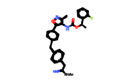 CC(=O)NC(=N)Cc1ccc(Cc2ccc(-c3onc(C)c3NC(=O)O[C@H](C)c3ccccc3F)cc2)cc1